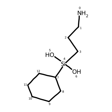 NCCC[Si](O)(O)C1CCCCC1